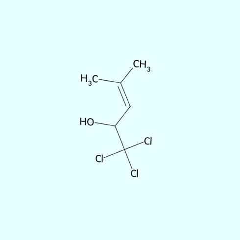 CC(C)=CC(O)C(Cl)(Cl)Cl